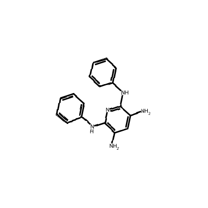 Nc1cc(N)c(Nc2ccccc2)nc1Nc1ccccc1